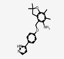 Cc1c(C)c2c(c(COc3ccc(-c4ccn[nH]4)cc3)c1N)CC(C)(C)O2